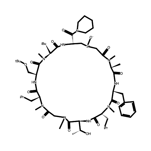 CC[C@H](C)[C@H]1C(=O)N[C@H](C(=O)N2CCCCC2)C[S+]([O-])CC(=O)N(C)[C@@H](C)C(=O)N[C@@H](Cc2ccccc2)C(=O)N(C)[C@H](CC(C)C)C(=O)N[C@@H]([C@@H](C)O)C(=O)N(C)CC(=O)N(C)[C@@H](CC(C)C)C(=O)N[C@@H](COC(C)(C)C)C(=O)N1C